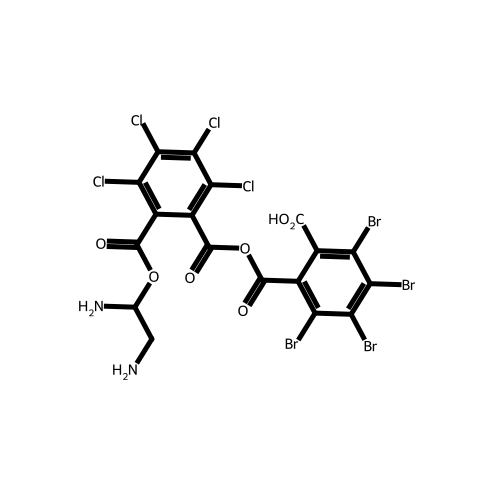 NCC(N)OC(=O)c1c(Cl)c(Cl)c(Cl)c(Cl)c1C(=O)OC(=O)c1c(Br)c(Br)c(Br)c(Br)c1C(=O)O